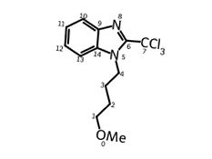 COCCCCn1c(C(Cl)(Cl)Cl)nc2ccccc21